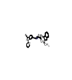 CO[C@H]1Cc2ccccc2[C@@H]1NC(=O)/C=C/c1ccc2c(C#N)nn(C3CCCCO3)c2c1